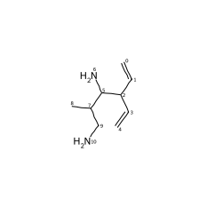 C=CC(C=C)C(N)C(C)CN